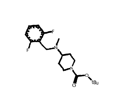 CN(Cc1c(F)cccc1F)C1CCN(C(=O)OC(C)(C)C)CC1